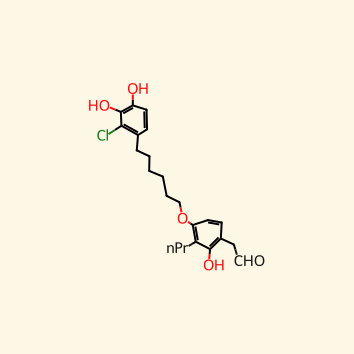 CCCc1c(OCCCCCCc2ccc(O)c(O)c2Cl)ccc(CC=O)c1O